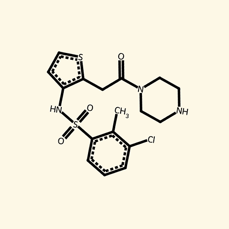 Cc1c(Cl)cccc1S(=O)(=O)Nc1ccsc1CC(=O)N1CCNCC1